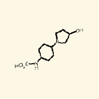 O=C(O)NC1CCC(N2CCC(O)C2)CC1